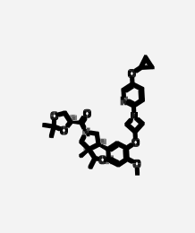 COc1ccc([C@@H]2CN(C(=O)[C@@H]3COC(C)(C)O3)C[C@@]2(C)C(C)O)cc1OC1CN(c2ccc(OC3CC3)cn2)C1